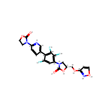 O=C1OCCN1c1ccc(-c2c(F)cc(N3C[C@H](COc4ccon4)OC3=O)c(F)c2F)cn1